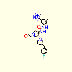 COCCN1CC[C@@H](NC(=O)Nc2cc(C)cc(-c3nnnn3C)c2)[C@H](CN2CCCC(Cc3ccc(F)cc3)C2)C1